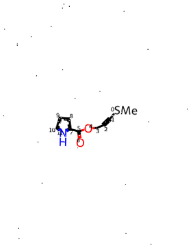 CSC#CCOC(=O)c1ccc[nH]1